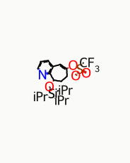 CC(C)[Si](OC1CCC(OS(=O)(=O)C(F)(F)F)=Cc2cccnc21)(C(C)C)C(C)C